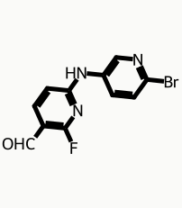 O=Cc1ccc(Nc2ccc(Br)nc2)nc1F